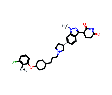 Cc1c(Br)cccc1OC1CCC(CCCN2CC[C@H](c3ccc4c(C5CCC(=O)NC5=O)nn(C)c4c3)C2)CC1